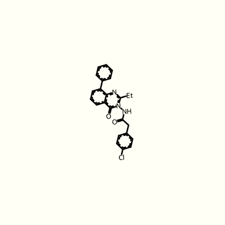 CCc1nc2c(-c3ccccc3)cccc2c(=O)n1NC(=O)Cc1ccc(Cl)cc1